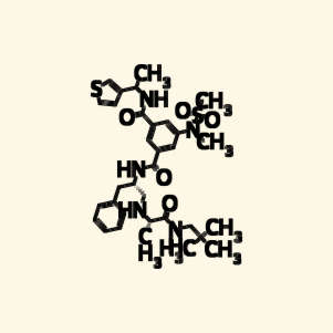 CC(NC(=O)c1cc(C(=O)N[C@H](CN[C@@H](C)C(=O)NCC(C)(C)C)Cc2ccccc2)cc(N(C)S(C)(=O)=O)c1)c1ccsc1